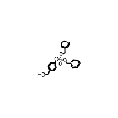 O=P(OCc1ccccc1)(OCc1ccccc1)Oc1ccc(CO)cc1